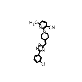 Cc1ccc(C#N)c(N2CCC(=Cc3nc(-c4cccc(Cl)c4)no3)CC2)n1